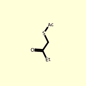 CCC(=O)CSC(C)=O